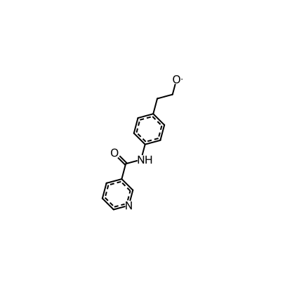 [O]CCc1ccc(NC(=O)c2cccnc2)cc1